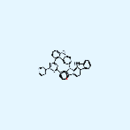 C1=CC(c2nc(-c3ccccc3)nc(-c3cccc4oc5ccc(-n6c7ccccc7c7ccc8c9ccccc9[nH]c8c76)cc5c34)n2)=CCC1